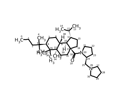 CCCC(C)(C)[C@H]1CC[C@@H]2[C@H]3[C@H](C(C)C)CC[C@]3(C(=O)N3CCC[C@H]3CN3CCCC3)CC[C@@]2(C)C1(C)C